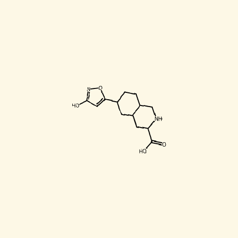 O=C(O)C1CC2CC(c3cc(O)no3)CCC2CN1